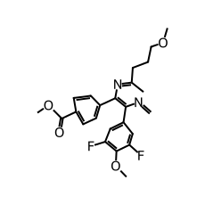 C=N/C(=C(\N=C(/C)CCCOC)c1ccc(C(=O)OC)cc1)c1cc(F)c(OC)c(F)c1